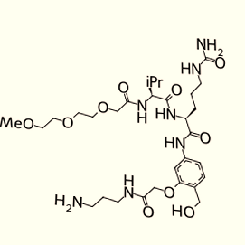 COCCOCCOCC(=O)N[C@H](C(=O)N[C@@H](CCCNC(N)=O)C(=O)Nc1ccc(CO)c(OCC(=O)NCCCN)c1)C(C)C